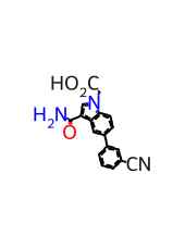 N#Cc1cccc(-c2ccc3c(c2)c(C(N)=O)cn3CC(=O)O)c1